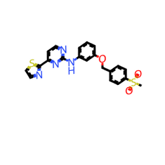 CS(=O)(=O)c1ccc(COc2cccc(Nc3nccc(-c4nccs4)n3)c2)cc1